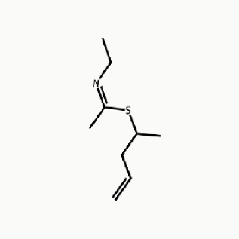 C=CCC(C)S/C(C)=N\CC